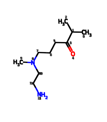 CC(C)C(=O)CCCN(C)CCN